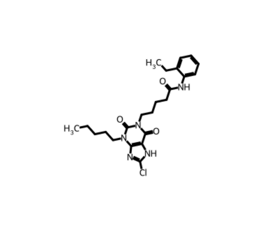 CCCCCn1c(=O)n(CCCCC(=O)Nc2ccccc2CC)c(=O)c2[nH]c(Cl)nc21